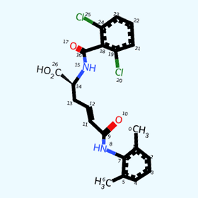 Cc1cccc(C)c1NC(=O)C=CC[C@H](NC(=O)c1c(Cl)cccc1Cl)C(=O)O